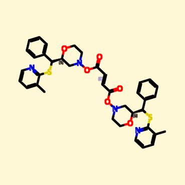 Cc1cccnc1SC(c1ccccc1)[C@@H]1CN(OC(=O)/C=C/C(=O)ON2CCO[C@H](C(Sc3ncccc3C)c3ccccc3)C2)CCO1